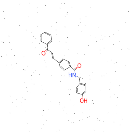 O=C(C=Cc1ccc(C(=O)N[CH]c2ccc(O)cc2)cc1)c1ccccc1